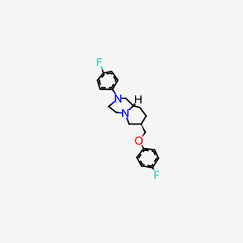 Fc1ccc(OC[C@@H]2CC[C@H]3CN(c4ccc(F)cc4)CCN3C2)cc1